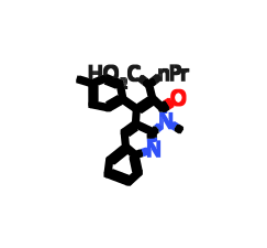 CCCC(C(=O)O)c1c(-c2ccc(C)cc2)c2cc3ccccc3nc2n(C)c1=O